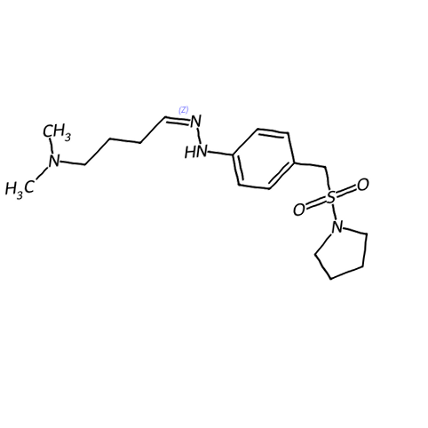 CN(C)CCC/C=N\Nc1ccc(CS(=O)(=O)N2CCCC2)cc1